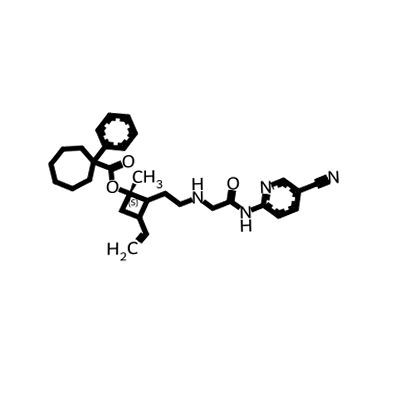 C=CC1C[C@](C)(OC(=O)C2(c3ccccc3)CCCCCC2)C1CCNCC(=O)Nc1ccc(C#N)cn1